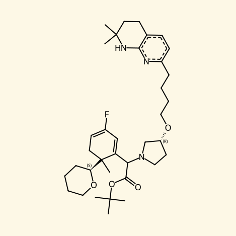 CC1(C)CCc2ccc(CCCCO[C@@H]3CCN(C(C(=O)OC(C)(C)C)C4=CC(F)=CCC4(C)[C@@H]4CCCCO4)C3)nc2N1